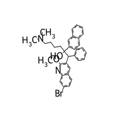 COc1nc2cc(Br)ccc2cc1C(c1ccccc1)C(O)(CCCCN(C)C)c1ccc2ccccc2c1